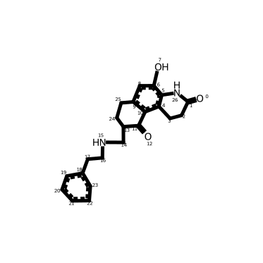 O=C1CCc2c(c(O)cc3c2C(=O)C(CNCCc2ccccc2)CC3)N1